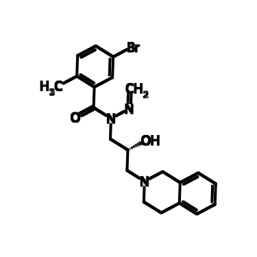 C=NN(C[C@H](O)CN1CCc2ccccc2C1)C(=O)c1cc(Br)ccc1C